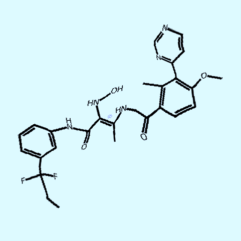 CCC(F)(F)c1cccc(NC(=O)/C(NO)=C(\C)NC(=O)c2ccc(OC)c(-c3ccncn3)c2C)c1